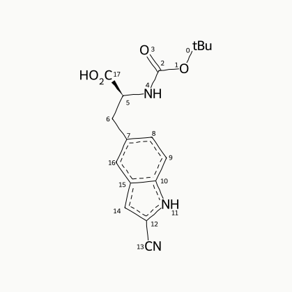 CC(C)(C)OC(=O)N[C@@H](Cc1ccc2[nH]c(C#N)cc2c1)C(=O)O